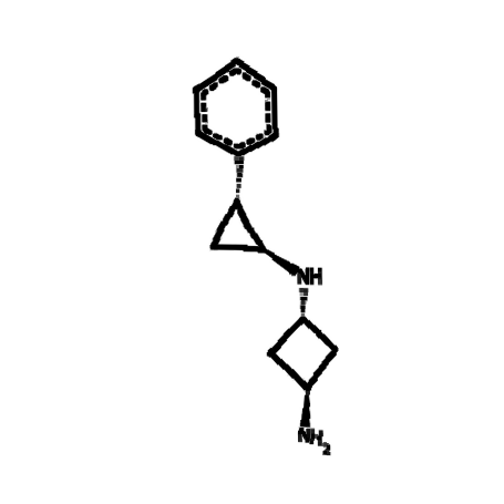 N[C@H]1C[C@H](N[C@H]2C[C@@H]2c2ccccc2)C1